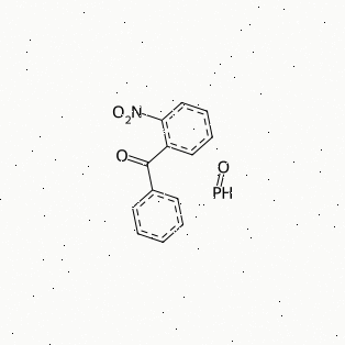 O=C(c1ccccc1)c1ccccc1[N+](=O)[O-].O=P